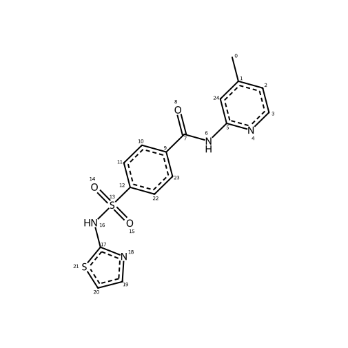 Cc1ccnc(NC(=O)c2ccc(S(=O)(=O)Nc3nccs3)cc2)c1